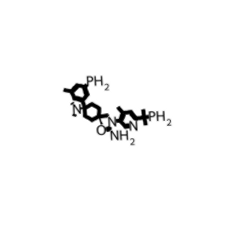 Cc1cc(P)cc([C@]2(N(C)C)CC[C@](C)(CN(C(N)=O)c3cnc(C(C)(C)P)cc3C)CC2)c1